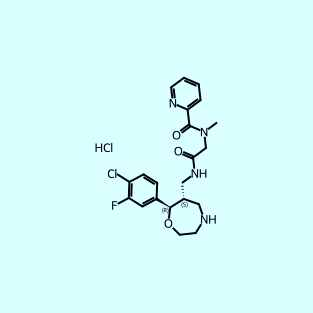 CN(CC(=O)NC[C@@H]1CNCCO[C@H]1c1ccc(Cl)c(F)c1)C(=O)c1ccccn1.Cl